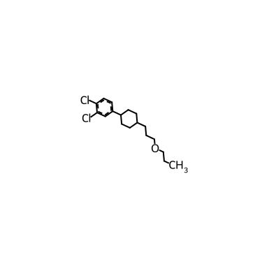 CCCOCCCC1CCC(c2ccc(Cl)c(Cl)c2)CC1